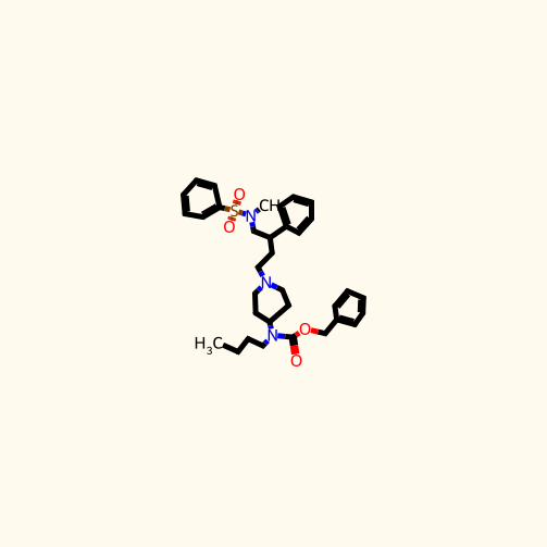 CCCCN(C(=O)OCc1ccccc1)C1CCN(CCC(CN(C)S(=O)(=O)c2ccccc2)c2ccccc2)CC1